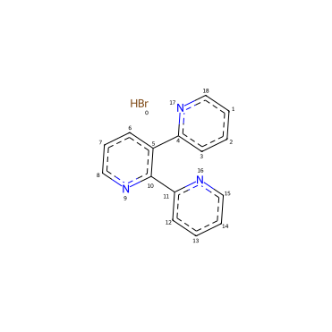 Br.c1ccc(-c2cccnc2-c2ccccn2)nc1